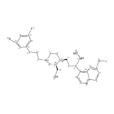 COc1ccc2nccc(C(CC[C@@H]3CCN(CCSc4cc(F)cc(F)c4)C[C@@H]3CO)NO)c2c1